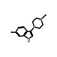 Cc1ccc2c(N3CCN(C)CC3)c[nH]c2c1